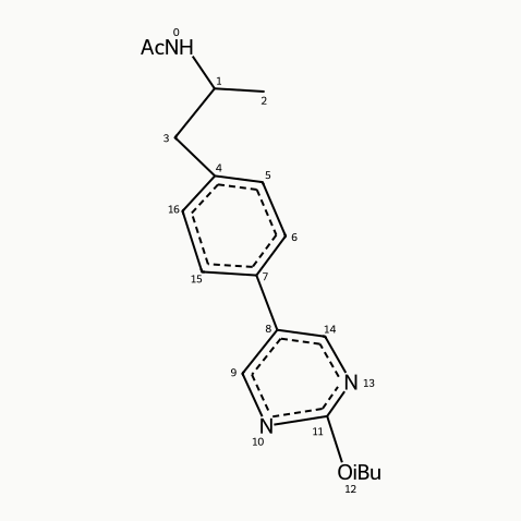 CC(=O)NC(C)Cc1ccc(-c2cnc(OCC(C)C)nc2)cc1